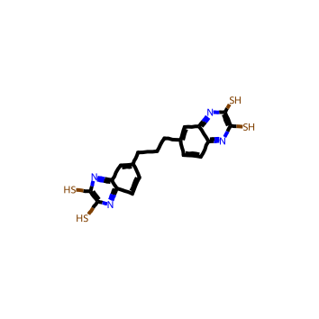 Sc1nc2ccc(CCCc3ccc4nc(S)c(S)nc4c3)cc2nc1S